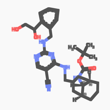 CC(C)(C)OC(=O)N[C@@H]1[C@@H]2CCC[C@H]1CC(CNc1nc(NCc3ccccc3C(O)CO)ncc1C#N)C2